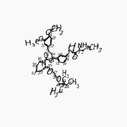 CCCC(N)C(=O)Nc1cccc(C(CCc2ccc(OC)c(OC)c2)OC(=O)N2CCCCC2COCCOCC(C)(C)CC)c1